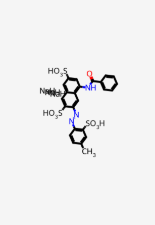 Cc1ccc(N=Nc2cc3c(NC(=O)c4ccccc4)cc(S(=O)(=O)O)cc3cc2S(=O)(=O)O)c(S(=O)(=O)O)c1.[NaH].[NaH].[NaH]